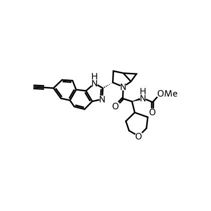 C#Cc1ccc2c(ccc3nc([C@@H]4CC5CC5N4C(=O)[C@@H](NC(=O)OC)C4CCOCC4)[nH]c32)c1